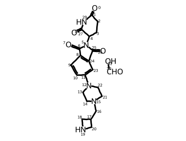 O=C1CCC(N2C(=O)c3ccc(N4CCN(CC5CNC5)CC4)cc3C2=O)C(=O)N1.O=CO